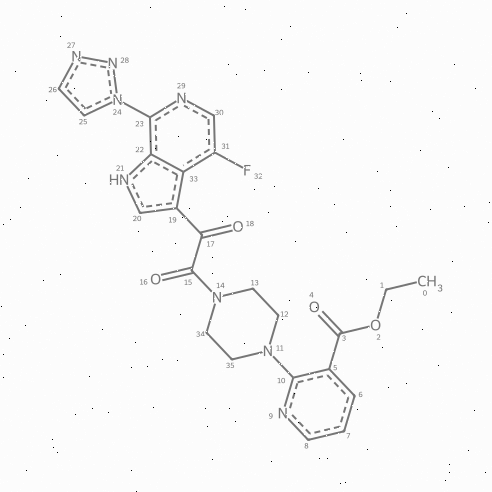 CCOC(=O)c1cccnc1N1CCN(C(=O)C(=O)c2c[nH]c3c(-n4ccnn4)ncc(F)c23)CC1